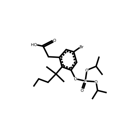 CCCC(C)(C)c1c(CC(=O)O)cc(Br)cc1OP(=O)(OC(C)C)OC(C)C